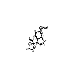 C=CC1(c2ccnc3cc(OC)ccc23)OCCO1